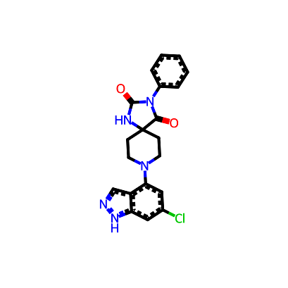 O=C1NC2(CCN(c3cc(Cl)cc4[nH]ncc34)CC2)C(=O)N1c1ccccc1